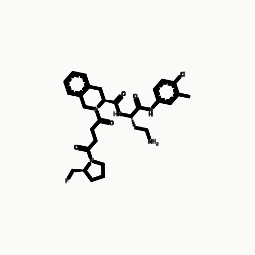 Cc1cc(NC(=O)[C@H](CCN)NC(=O)[C@@H]2Cc3ccccc3CN2C(=O)CCC(=O)N2CCC[C@H]2CF)ccc1Cl